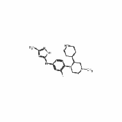 CN1CCN(c2ccc(Nc3nc(N)n[nH]3)cc2F)C(C2CCNCC2)C1